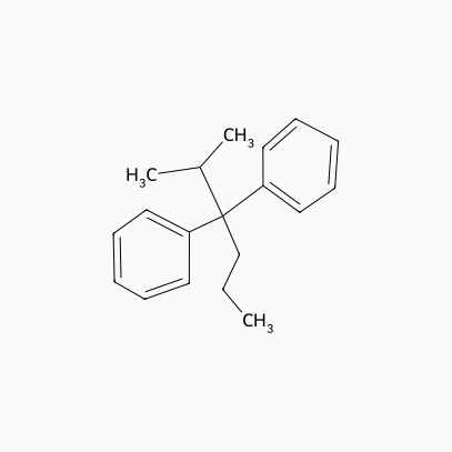 CCCC(c1ccccc1)(c1ccccc1)C(C)C